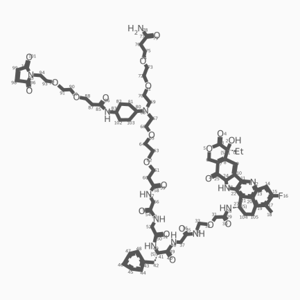 CC[C@@]1(O)C(=O)OCC2=C1C=C1c3nc4cc(F)c(C)c5c4c(c3NC1C2=O)[C@@H](NC(=O)COCNC(=O)CNC(=O)[C@H](Cc1ccccc1)NC(=O)CNC(=O)CNC(=O)CCOCCOCCN(CCOCCOCCC(N)=O)C1CCC(NC(=O)CCOCCOCCN2C(=O)C=CC2=O)CC1)CC5